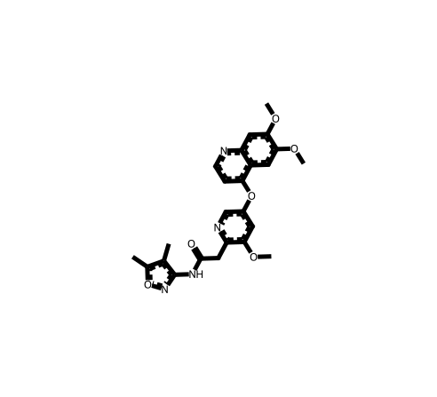 COc1cc2nccc(Oc3cnc(CC(=O)Nc4noc(C)c4C)c(OC)c3)c2cc1OC